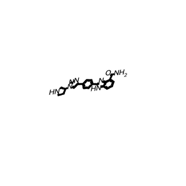 NC(=O)c1cccc2[nH]c(-c3ccc(-c4cn(C5CCNC5)nn4)cc3)nc12